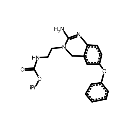 CC(C)OC(=O)NCCN1Cc2cc(Oc3ccccc3)ccc2N=C1N